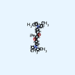 Cc1cccc(N(c2cccc(C)c2)c2ccc3cc4c(cc3c2)oc2c(C(C)C)c3c(cc24)oc2cc4cc(N(c5cccc(C)c5)c5cccc(C)c5)ccc4cc23)c1